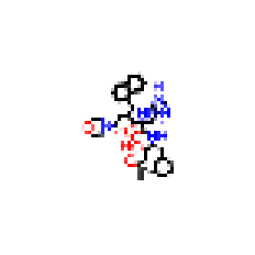 CC(C)C(=O)CC(O)[C@H](CC1CCCCC1)NC(=O)[C@@](N)(Cc1c[nH]cn1)C(=O)C(CC(=O)N1CCOCC1)Cc1cccc2ccccc12